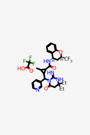 CCC1(CC)CC(=O)N(C(c2cccnc2)C2C(C)C2C(=O)N[C@H]2C[C@H](C(F)(F)F)Oc3ccccc32)C(=N)N1.O=C(O)C(F)(F)F